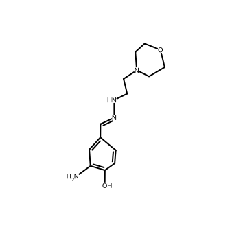 Nc1cc(/C=N/NCCN2CCOCC2)ccc1O